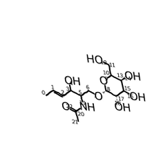 C/C=C/C(O)C(CO[C@@H]1OC(CO)[C@@H](O)C(O)[C@@H]1O)NC(C)=O